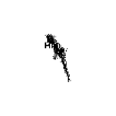 CCCCCCCCCCCCCCOc1ccc(CC(=O)NCc2cc[n+](CC)cc2)cc1C(C)(C)C.[I-]